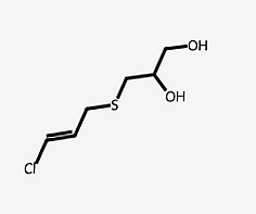 OCC(O)CSCC=CCl